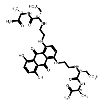 C[C@H](NC(=O)[C@H](CC(=O)O)NCCNc1ccc(NCCN[C@@H](CC(=O)O)C(=O)N[C@@H](C)C(N)=O)c2c1C(=O)c1c(O)ccc(O)c1C2=O)C(N)=O